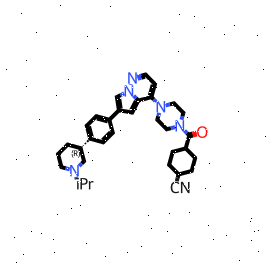 CC(C)N1CCC[C@H](c2ccc(-c3cc4c(N5CCN(C(=O)C6CCC(C#N)CC6)CC5)ccnn4c3)cc2)C1